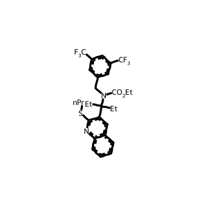 CCCSc1nc2ccccc2cc1C(CC)(CC)N(Cc1cc(C(F)(F)F)cc(C(F)(F)F)c1)C(=O)OCC